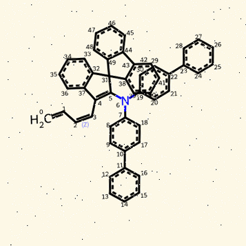 C=C/C=C\C1=C(N(c2ccc(-c3ccccc3)cc2)c2ccc(-c3ccccc3)cc2)C2(c3ccccc31)c1ccccc1-c1ccccc12